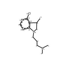 CN(C)CCCN1CC(I)c2c(Cl)ncnc21